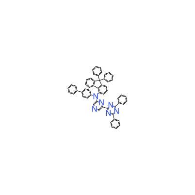 c1ccc(-c2ccc(N(c3cncc(-c4nc(-c5ccccc5)nc(-c5ccccc5)n4)n3)c3cccc4c3-c3ccccc3C4(c3ccccc3)c3ccccc3)cc2)cc1